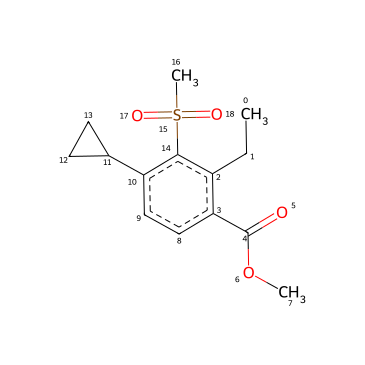 CCc1c(C(=O)OC)ccc(C2CC2)c1S(C)(=O)=O